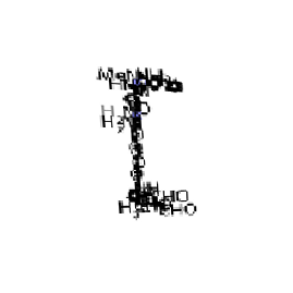 CN/C(N)=C1\C(=N)N(C2CCCN(C(=O)/C(N)=C/N(N)CCOCCOCCOCCOCCNc3cccc(C=O)c3C(=O)N(C)C(C=O)CCC=O)C2)N=C1c1ccc(Oc2ccccc2)cc1